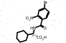 O=C(N[C@H](C(=O)O)C1CCCCC1)c1ccc(Br)cc1[N+](=O)[O-]